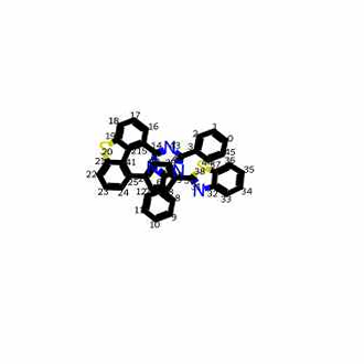 c1ccc(-c2nc(-c3ccccc3)nc(-c3cccc4sc5cccc(-c6ccc(-c7nc8ccccc8s7)cc6)c5c34)n2)cc1